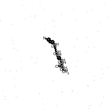 CNC(=O)Nc1nc(Cl)nc(NC(=O)Nc2ccc(CNC(=O)NCCCOC(=O)Nc3ccc4c(c3)Cc3cc(C#N)ccc3-4)cc2)n1